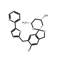 C[C@@H]1C[C@H](O)C[C@@]2(OCc3cc(Cl)c(Cc4ccc(-c5ccccn5)s4)cc32)O1